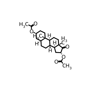 CC(=O)O[C@H]1CC[C@@]2(C)[C@@H](CC[C@@H]3[C@@H]2CC[C@]2(C)C(=O)[C@H](OC(C)=O)C[C@@H]32)C1